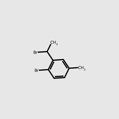 Cc1ccc(Br)c(C(C)Br)c1